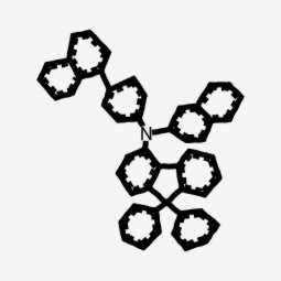 c1ccc(C2(c3ccccc3)c3ccccc3-c3c(N(c4ccc(-c5cccc6ccccc56)cc4)c4ccc5ccccc5c4)cccc32)cc1